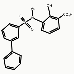 CC(=O)N(c1cccc(C(=O)O)c1O)S(=O)(=O)c1cccc(-c2ccccc2)c1